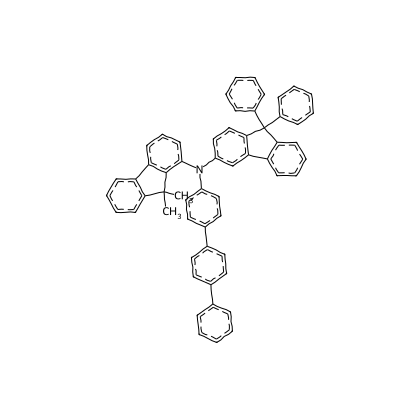 CC1(C)c2ccccc2-c2cccc(N(c3ccc(-c4ccc(-c5ccccc5)cc4)cc3)c3ccc4c(c3)-c3ccccc3C4(c3ccccc3)c3ccccc3)c21